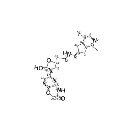 Cc1ncc(F)c2c1C[C@@H](CNCC[C@@H]1CN(c3cnc4c(n3)NC(=O)CO4)C(O)O1)C2